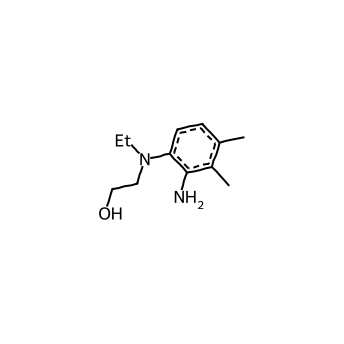 CCN(CCO)c1ccc(C)c(C)c1N